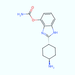 NC(=O)Oc1cccc2[nH]c([C@H]3CC[C@H](N)CC3)nc12